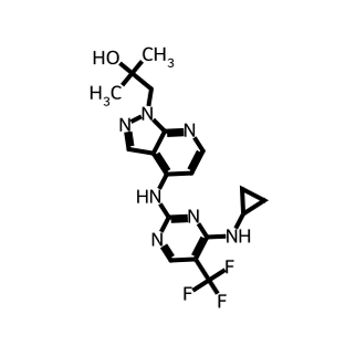 CC(C)(O)Cn1ncc2c(Nc3ncc(C(F)(F)F)c(NC4CC4)n3)ccnc21